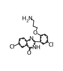 NCCCOc1ccc(Cl)cc1-c1nc2ccc(Cl)cc2c(=O)[nH]1